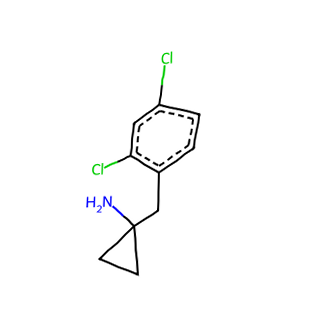 NC1(Cc2ccc(Cl)cc2Cl)CC1